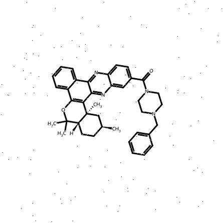 C[C@H]1CC[C@@H]2C(C)(C)Oc3c(c4nc5cc(C(=O)N6CCN(Cc7ccccc7)CC6)ccc5nc4c4ccccc34)[C@@]2(C)C1